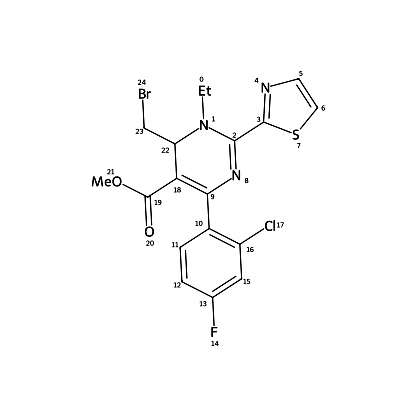 CCN1C(c2nccs2)=NC(c2ccc(F)cc2Cl)=C(C(=O)OC)C1CBr